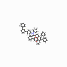 c1ccc(-c2c(-c3ccccc3)c3cc(-c4ccccc4N(c4ccc(-c5cccc6c5sc5ccccc56)cc4)c4cc5ccccc5c5ccccc45)ccc3c3ccccc23)cc1